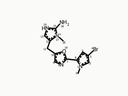 Cn1cc(Br)cc1-c1ncc(Cc2c[nH]c(N)[n+]2C)o1